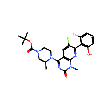 C[C@H]1CN(C(=O)OC(C)(C)C)CCN1c1nc(=O)n(C)c2nc(-c3c(O)cccc3F)c(F)cc12